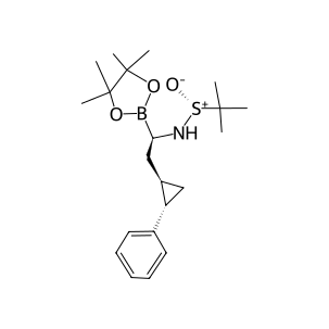 CC(C)(C)[S@@+]([O-])N[C@@H](C[C@H]1C[C@@H]1c1ccccc1)B1OC(C)(C)C(C)(C)O1